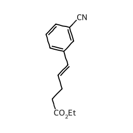 CCOC(=O)CCC=Cc1cccc(C#N)c1